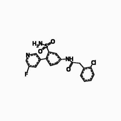 NS(=O)(=O)c1cc(NC(=O)Cc2ccccc2Cl)ccc1-c1cncc(F)c1